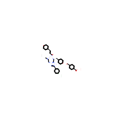 CCCCn1cc(-c2ccc(Cl)cc2Cl)nc1[C@H](Cc1ccc(OCc2ccc(C(=O)O)cc2)cc1)NC(=O)C=Cc1ccc(O)cc1